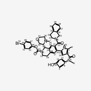 Cc1c(C(=O)N(C)c2ccc(O)cc2)cc(-c2cc3c(cc2C(=O)N2Cc4ccccc4C[C@H]2CN2CCOCC2)CN(C(=O)Oc2ccc(Br)cc2)CC3)n1C